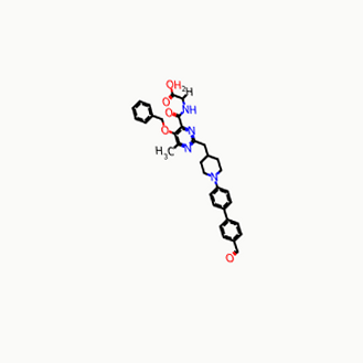 [2H]C(NC(=O)c1nc(CC2CCN(c3ccc(-c4ccc(C=O)cc4)cc3)CC2)nc(C)c1OCc1ccccc1)C(=O)O